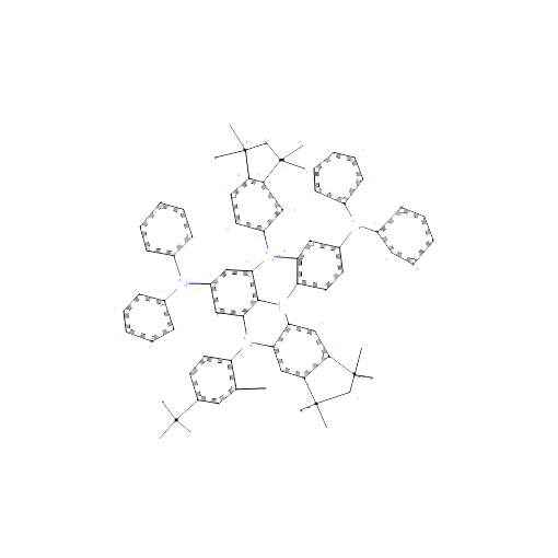 Cc1cc(C(C)(C)C)ccc1N1c2cc3c(cc2B2c4ccc(N(c5ccccc5)c5ccccc5)cc4N(c4ccc5c(c4)C(C)(C)CC5(C)C)c4cc(N(c5ccccc5)c5ccccc5)cc1c42)C(C)(C)CC3(C)C